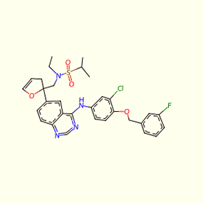 CCN(CC1(c2ccc3ncnc(Nc4ccc(OCc5cccc(F)c5)c(Cl)c4)c3c2)CC=CO1)S(=O)(=O)C(C)C